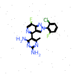 Cc1nc(N)nc(N)c1-c1ncc(F)c2nn(-c3c(F)cccc3Cl)cc12